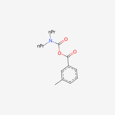 CCCN(CCC)C(=O)OC(=O)c1cccc(C)c1